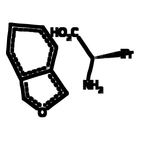 CC(C)[C@H](N)C(=O)O.c1ccc2cocc2c1